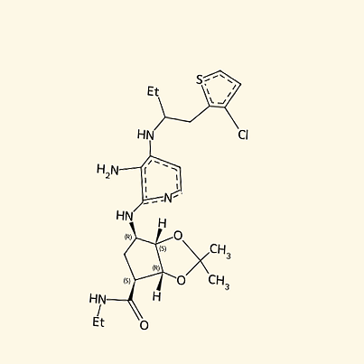 CCNC(=O)[C@H]1C[C@@H](Nc2nccc(NC(CC)Cc3sccc3Cl)c2N)[C@@H]2OC(C)(C)O[C@@H]21